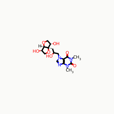 Cn1c(=O)c2c(ncn2CC(O)C[C@]23OC[C@@H](O)[C@H]2OC[C@@H]3O)n(C)c1=O